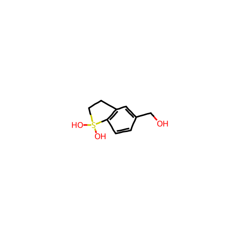 OCc1ccc2c(c1)CCS2(O)O